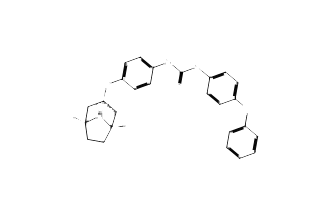 CN1[C@@H]2CC[C@H]1C[C@H](Oc1ccc(NC(=O)Nc3ccc(Oc4ccccc4)cc3)cc1)C2